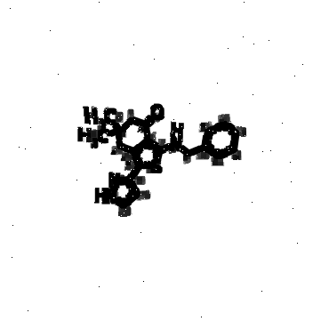 CC1(C)CC(=O)c2c(NCc3ccccc3)sc(-c3cc[nH]n3)c2C1